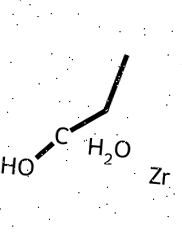 CCCO.O.[Zr]